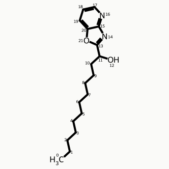 CCCCCCCCCCCC(O)c1nc2ncccc2o1